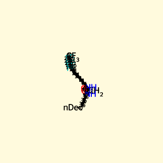 [CH2]C(NC(=O)CCCCCCCCCCC(F)(F)C(F)(F)C(F)(F)C(F)(F)C(F)(F)C(F)(F)F)C(=O)NCCCCCCCCCCCCCCCC